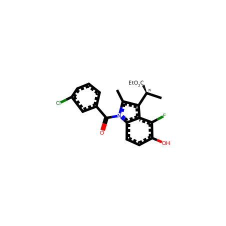 CCOC(=O)[C@@H](C)c1c(C)n(C(=O)c2cccc(Cl)c2)c2ccc(O)c(F)c12